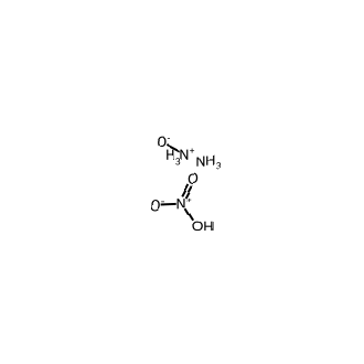 N.O=[N+]([O-])O.[NH3+][O-]